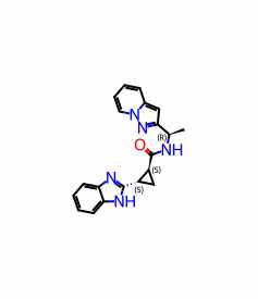 C[C@@H](NC(=O)[C@H]1C[C@@H]1c1nc2ccccc2[nH]1)c1cc2ccccn2n1